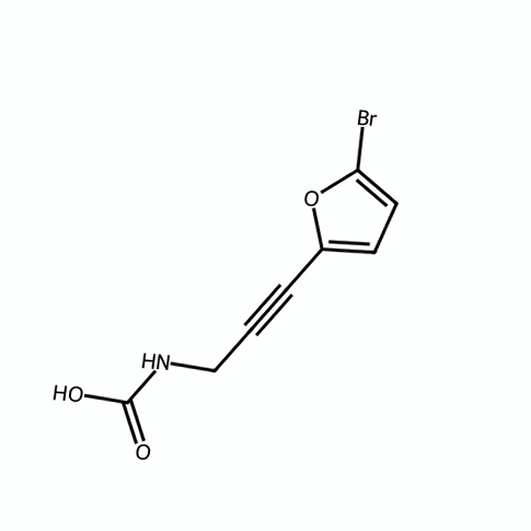 O=C(O)NCC#Cc1ccc(Br)o1